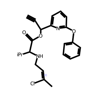 C#CC(OC(=O)C(NC/C=C(/C)Cl)C(C)C)c1cccc(Oc2ccccc2)n1